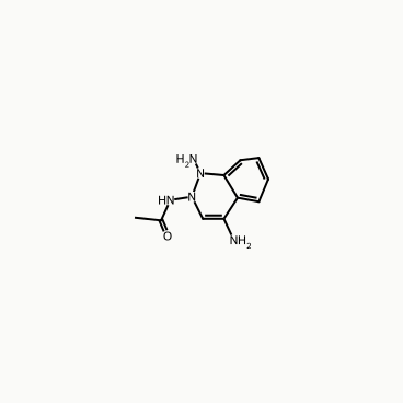 CC(=O)NN1C=C(N)c2ccccc2N1N